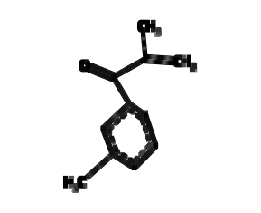 C=C(C)C(=O)c1[c]ccc(C)c1